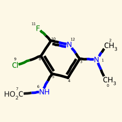 CN(C)c1cc(NC(=O)O)c(Cl)c(F)n1